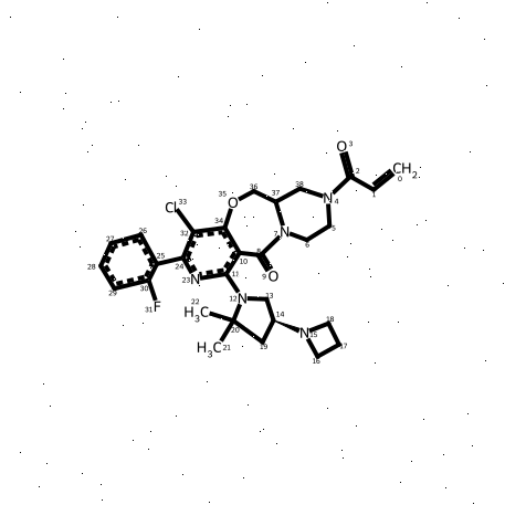 C=CC(=O)N1CCN2C(=O)c3c(N4C[C@@H](N5CCC5)CC4(C)C)nc(-c4ccccc4F)c(Cl)c3OCC2C1